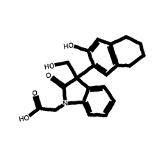 O=C(O)CN1C(=O)C(CO)(c2cc3c(cc2O)CCCC3)c2ccccc21